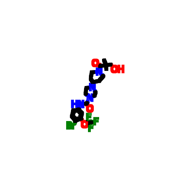 CC(C)(CO)C(=O)N1CCC(N2CCN(C(=O)Nc3ccc(Br)c(OC(F)(F)F)c3)CC2)CC1